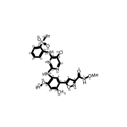 CONC(=O)c1cc(-c2cc(Nc3ncc(Cl)c(Nc4ccccc4S(=O)(=O)C(C)C)n3)c(OC(C)C)cc2C)on1